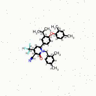 Cc1ccc(Cn2c(-c3ccc(Oc4ccc(C)cc4C)c(C(C)C)c3)cc(C(F)(F)F)c(C#N)c2=O)c(C)c1